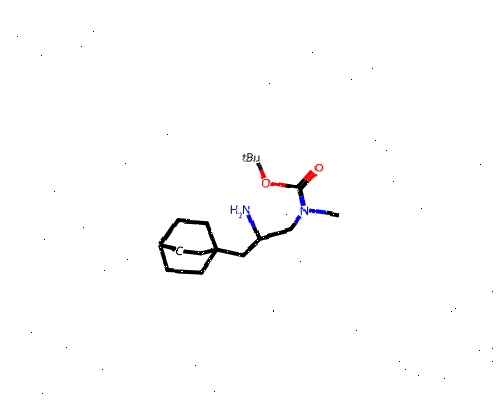 CN(CC(N)CC12CCC(CC1)CC2)C(=O)OC(C)(C)C